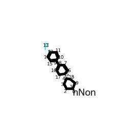 CCCCCCCCC[C@H]1CC[C@H](C2C=CC(c3ccc(F)cc3)=CC2)CC1